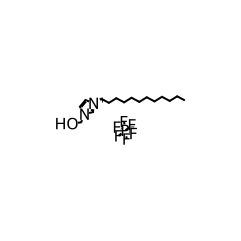 CCCCCCCCCCCC[n+]1ccn(CO)c1.F[P-](F)(F)(F)(F)F